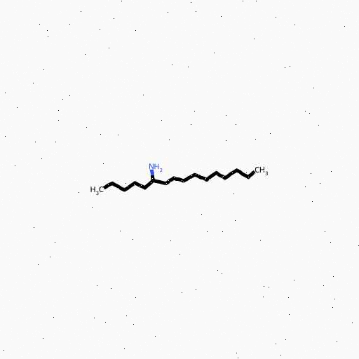 CCCCCCCCC[CH]C(N)CCCCC